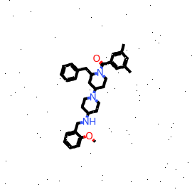 COc1ccccc1CNC1CCN(C2CCN(C(=O)c3cc(C)cc(C)c3)C(Cc3ccccc3)C2)CC1